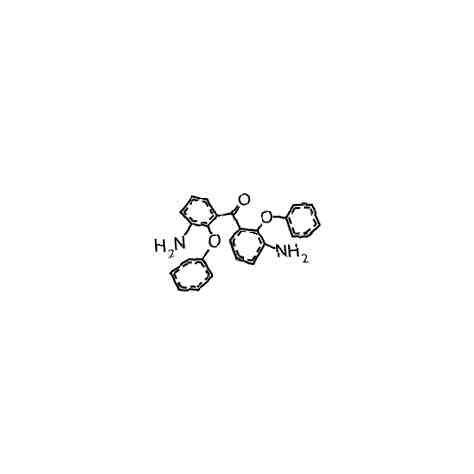 Nc1cccc(C(=O)c2cccc(N)c2Oc2ccccc2)c1Oc1ccccc1